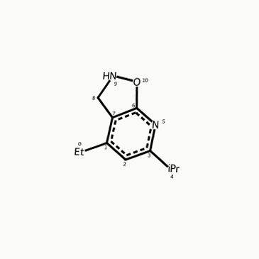 CCc1cc(C(C)C)nc2c1CNO2